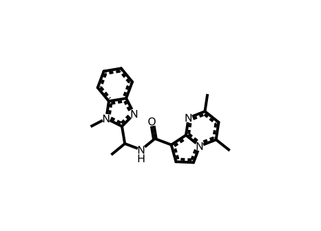 Cc1cc(C)n2ccc(C(=O)NC(C)c3nc4ccccc4n3C)c2n1